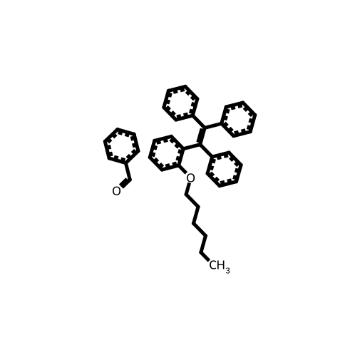 CCCCCCOc1ccccc1C(=C(c1ccccc1)c1ccccc1)c1ccccc1.O=Cc1ccccc1